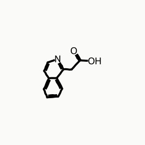 O=C(O)Cc1nccc2ccccc12